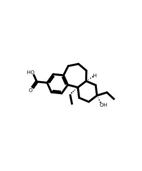 CC[C@@]1(O)CC[C@@]2(CC)c3ccc(C(=O)O)cc3CCC[C@H]2C1